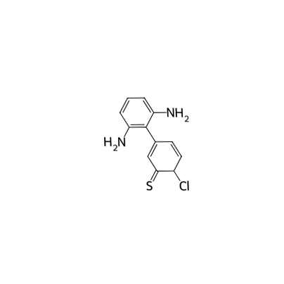 Nc1cccc(N)c1C1=CC(=S)C(Cl)C=C1